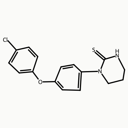 S=C1NCCCN1c1ccc(Oc2ccc(Cl)cc2)cc1